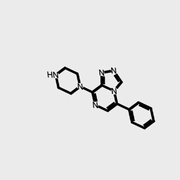 c1ccc(-c2cnc(N3CCNCC3)c3nncn23)cc1